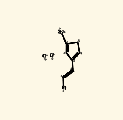 CCC=CC1=CC[C]([Zr+2])=C1.[Cl-].[Cl-]